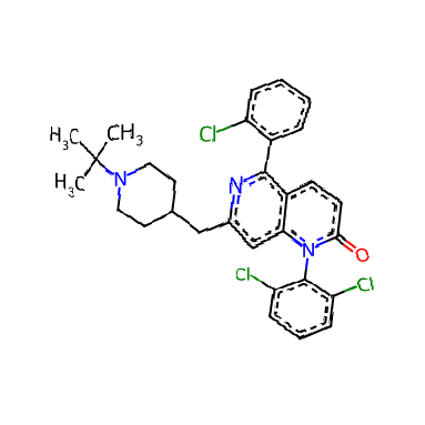 CC(C)(C)N1CCC(Cc2cc3c(ccc(=O)n3-c3c(Cl)cccc3Cl)c(-c3ccccc3Cl)n2)CC1